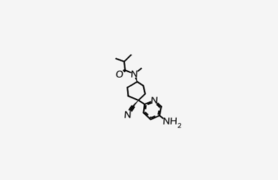 CC(C)C(=O)N(C)[C@H]1CC[C@](C#N)(c2ccc(N)cn2)CC1